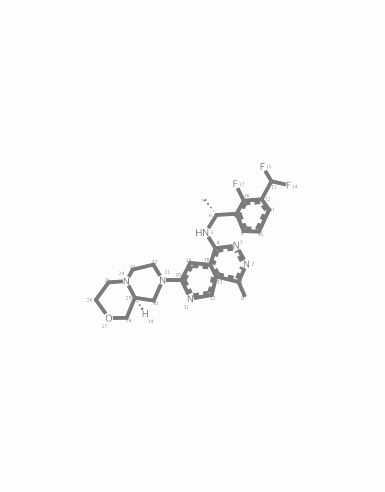 Cc1nnc(N[C@H](C)c2cccc(C(F)F)c2F)c2cc(N3CCN4CCOC[C@@H]4C3)ncc12